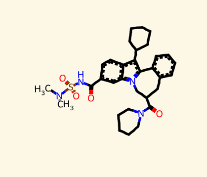 CN(C)S(=O)(=O)NC(=O)c1ccc2c(C3CCCCC3)c3n(c2c1)CC(C(=O)N1CCCCC1)Cc1ccccc1-3